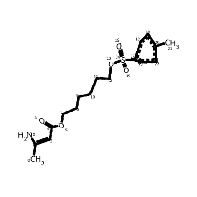 CC(N)=CC(=O)OCCCCCCOS(=O)(=O)c1ccc(C)cc1